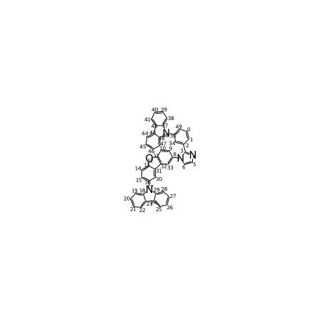 c1cc(-c2nccn2-c2ccc3oc4ccc(-n5c6ccccc6c6ccccc65)cc4c3c2)cc(-n2c3ccccc3c3ccccc32)c1